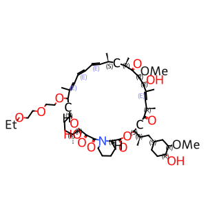 CCOCCOCCOC1C[C@@H]2CC[C@@H](C)[C@@](O)(O2)C(=O)C(=O)N2CCCC[C@H]2C(=O)O[C@H]([C@H](C)C[C@@H]2CC[C@@H](O)[C@H](OC)C2)CC(=O)[C@H](C)/C=C(\C)[C@@H](O)[C@@H](OC)C(=O)[C@H](C)C[C@H](C)/C=C/C=C/C=C/1C